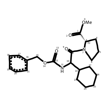 COC(=O)[C@@H]1CCCN1C(=O)C(NC(=O)OCc1ccccc1)C1CCCCC1